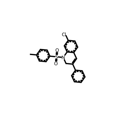 Cc1ccc(S(=O)(=O)N2CC(c3ccccc3)=Cc3ccc(Cl)cc32)cc1